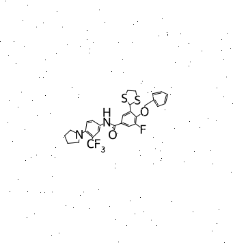 O=C(Nc1ccc(N2CCCC2)c(C(F)(F)F)c1)c1cc(F)c(OCc2ccccc2)c(C2SCCS2)c1